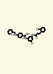 N=C(Nc1cc(Cl)cc(NC(=O)/C=C/c2ccccc2Cl)c1)c1ccc(NCc2ccccn2)cc1